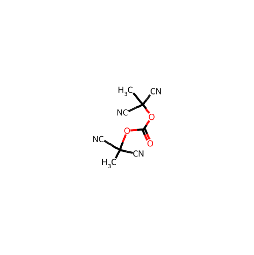 CC(C#N)(C#N)OC(=O)OC(C)(C#N)C#N